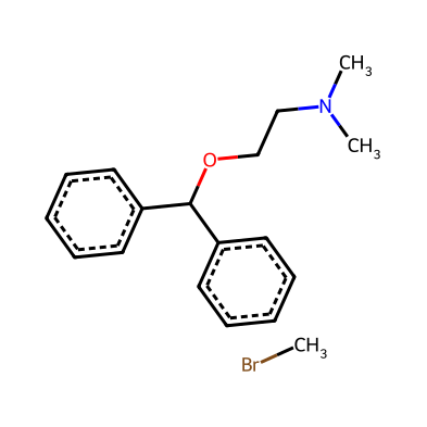 CBr.CN(C)CCOC(c1ccccc1)c1ccccc1